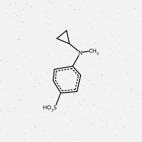 CN(c1ccc(S(=O)(=O)O)cc1)C1CC1